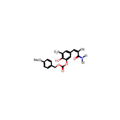 CCN(CC)C(=O)C(C#N)=Cc1cc(OC(=O)OCc2ccc(OC)cc2)c(O)c([N+](=O)[O-])c1